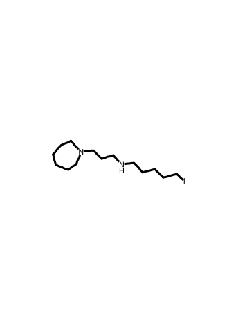 ICCCCCNCCCN1CCCCCC1